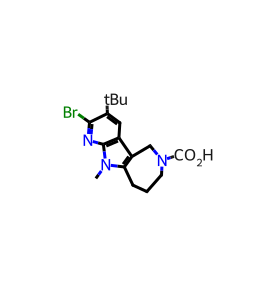 Cn1c2c(c3cc(C(C)(C)C)c(Br)nc31)CN(C(=O)O)CCC2